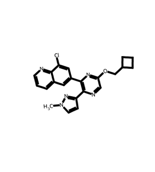 Cn1ccc(-c2ncc(OCC3CCC3)nc2-c2cc(Cl)c3ncccc3c2)n1